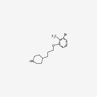 FC(F)(F)c1c(Br)cccc1OCCCC1CCNCC1